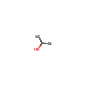 CC[C](O)C#N